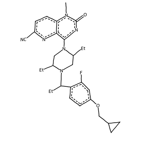 CCC1CN(C(CC)c2ccc(OCC3CC3)cc2F)C(CC)CN1c1nc(=O)n(C)c2ccc(C#N)nc12